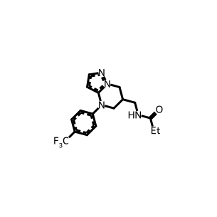 CCC(=O)NCC1CN(c2ccc(C(F)(F)F)cc2)c2ccnn2C1